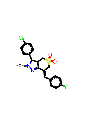 CCCN1N=C2C(=Cc3ccc(Cl)cc3)CS(=O)(=O)CC2C1c1ccc(Cl)cc1